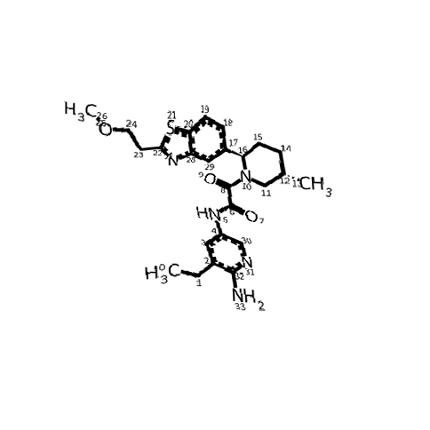 CCc1cc(NC(=O)C(=O)N2C[C@@H](C)CC[C@@H]2c2ccc3sc(CCOC)nc3c2)cnc1N